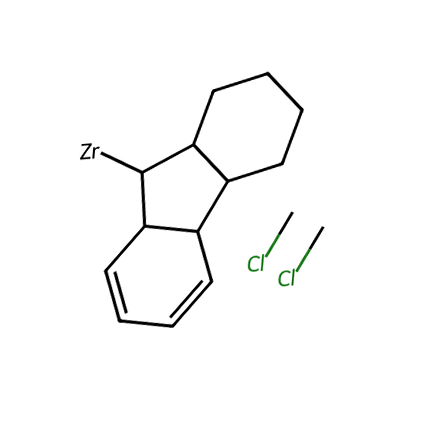 CCl.CCl.[Zr][CH]1C2C=CC=CC2C2CCCCC12